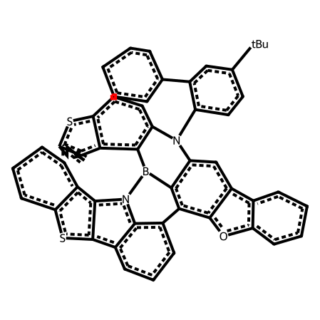 CC(C)(C)c1ccc(N2c3cc4c(oc5ccccc54)c4c3B(c3c2ccc2sc5ccccc5c32)n2c3c-4cccc3c3sc4ccccc4c32)c(-c2ccccc2)c1